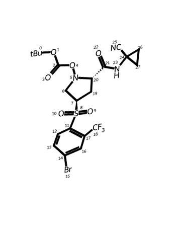 CC(C)(C)OC(=O)ON1C[C@H](S(=O)(=O)c2ccc(Br)cc2C(F)(F)F)C[C@H]1C(=O)NC1(C#N)CC1